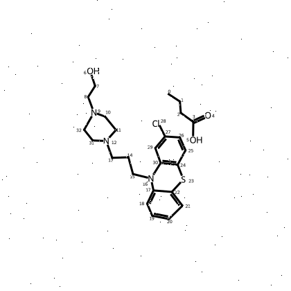 CCCC(=O)O.OCCN1CCN(CCCN2c3ccccc3Sc3ccc(Cl)cc32)CC1